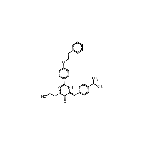 CC(C)c1ccc(C=C(NC(=O)c2ccc(OCCc3ccccc3)cc2)C(=O)NCCO)cc1